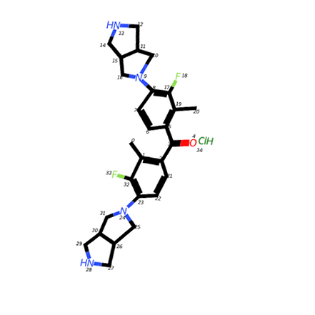 Cc1c(C(=O)c2ccc(N3CC4CNCC4C3)c(F)c2C)ccc(N2CC3CNCC3C2)c1F.Cl